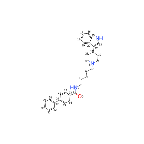 O=C(NCCCCCN1CCC(c2c[nH]c3ccccc23)CC1)c1ccc(-c2ccccc2)cc1